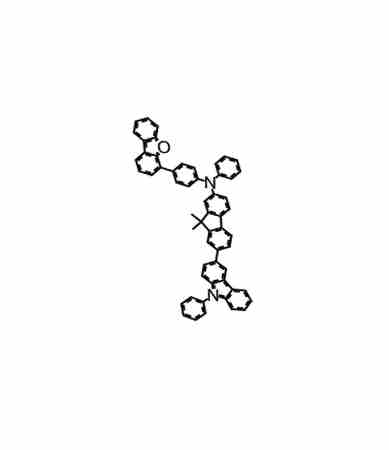 CC1(C)c2cc(-c3ccc4c(c3)c3ccccc3n4-c3ccccc3)ccc2-c2ccc(N(c3ccccc3)c3ccc(-c4cccc5c4oc4ccccc45)cc3)cc21